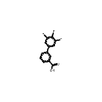 O=C(O)c1cccc(-c2cc(F)c(F)c(F)c2)c1